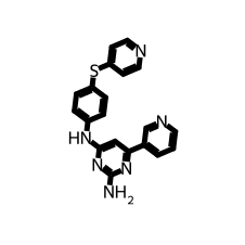 Nc1nc(Nc2ccc(Sc3ccncc3)cc2)cc(-c2cccnc2)n1